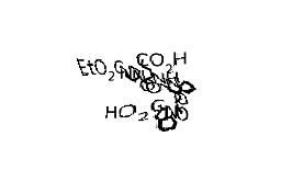 CCOC(=O)N1CCN(C(=O)C(CCC(=O)O)NC(=O)c2cc(OCC(=O)N3c4ccccc4CC3C(=O)O)c3ccccc3n2)CC1